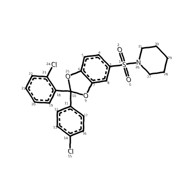 O=S(=O)(c1ccc2c(c1)OC(c1ccc(Cl)cc1)(c1ccccc1Cl)O2)N1CCCCC1